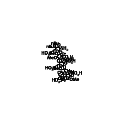 CCCCOC1C(COS(=O)(=O)O)OC(OC2C(OC)C(OC)C(OC3C(COS(=O)(=O)O)OC(OC(C)C(OC)[C@H]4OCC(C(=O)O)OC4OC4C(COS(=O)(=O)O)OC(OC)C(OS(=O)(=O)O)C4O)C(OS(=O)(=O)O)C3OS(=O)(=O)O)OC2(CC)C(=O)O)C(N)C1OCCCC